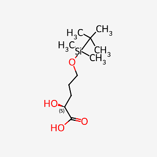 CC(C)(C)[Si](C)(C)OCCC[C@H](O)C(=O)O